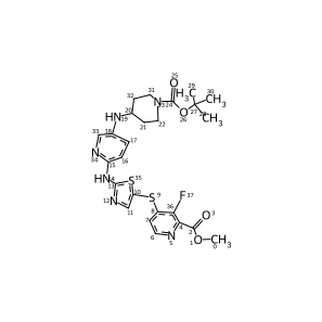 COC(=O)c1nccc(Sc2cnc(Nc3ccc(NC4CCN(C(=O)OC(C)(C)C)CC4)cn3)s2)c1F